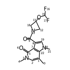 Cc1cn(C)c(=O)c2c(C(=O)N3CC(OC(F)F)C3)cn(C)c12